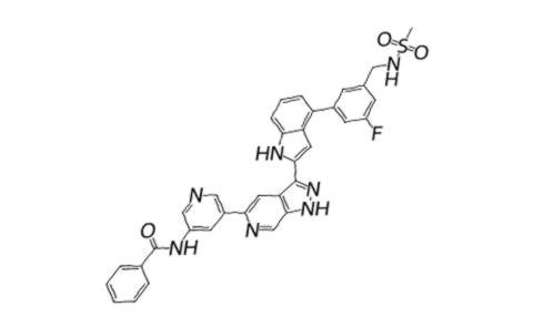 CS(=O)(=O)NCc1cc(F)cc(-c2cccc3[nH]c(-c4n[nH]c5cnc(-c6cncc(NC(=O)c7ccccc7)c6)cc45)cc23)c1